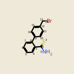 NC(=S)c1ccccc1-c1ccc(CBr)cc1